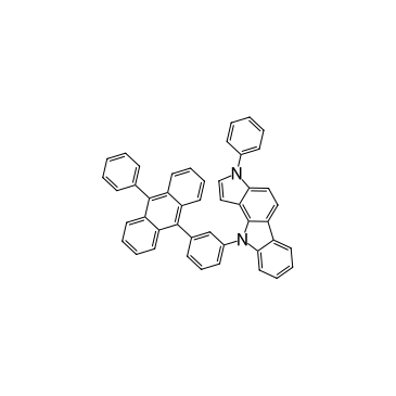 c1ccc(-c2c3ccccc3c(-c3cccc(-n4c5ccccc5c5ccc6c(ccn6-c6ccccc6)c54)c3)c3ccccc23)cc1